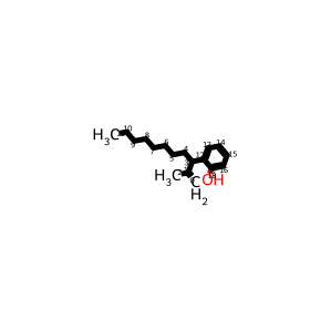 C=C(C)C(CCCCCCCC)c1ccccc1O